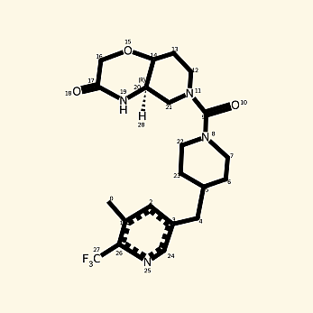 Cc1cc(CC2CCN(C(=O)N3CCC4OCC(=O)N[C@@H]4C3)CC2)cnc1C(F)(F)F